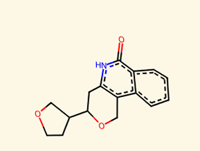 O=c1[nH]c2c(c3ccccc13)COC(C1CCOC1)C2